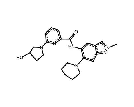 Cn1cc2cc(NC(=O)c3cccc(N4CCC(O)C4)n3)c(N3CCCCC3)cc2n1